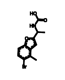 Cc1c(Br)ccc2oc(C(C)NC(=O)O)cc12